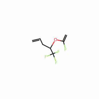 C=CCC(OC(=C)F)C(F)(F)F